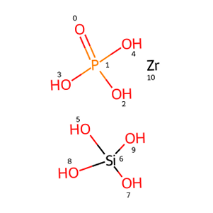 O=P(O)(O)O.O[Si](O)(O)O.[Zr]